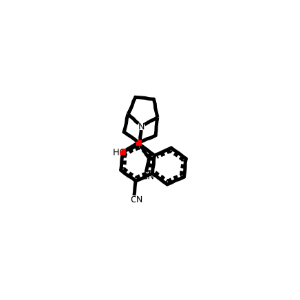 N#CCC1(O)CC2CCC(C1)N2c1ccc(C#N)c2ccccc12